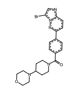 O=C(c1ccc(-c2ccc3ncc(Br)n3n2)cc1)N1CCC(N2CCOCC2)CC1